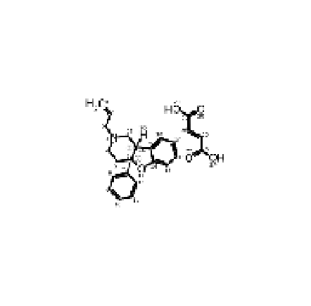 C=CCN1CC[C@@]2(c3ccccc3)Oc3ccccc3[C@H]2C1.O=C(O)C=CC(=O)O